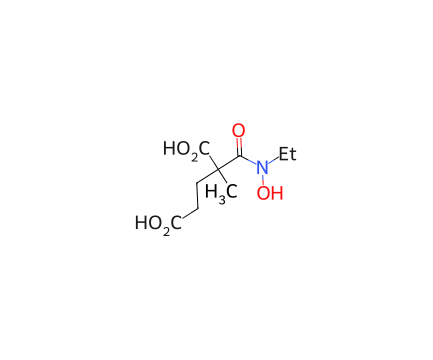 CCN(O)C(=O)C(C)(CCC(=O)O)C(=O)O